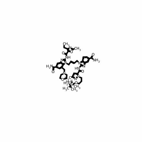 CCc1nc(C)oc1C(=O)Nc1nc2cc(C(N)=O)cc(CN3CCOCC3)c2n1C/C=C/Cn1c(NC(=O)c2cc(C)nn2CCCO[Si](C)(C)C(C)(C)C)nc2cc(C(N)=O)ccc21